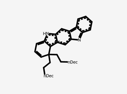 CCCCCCCCCCCCC1(CCCCCCCCCCCC)C=CC=c2[nH]c3cc4c(cc3c21)N=c1ccccc1=4